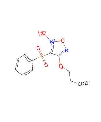 O=C([O-])CCOc1no[n+](O)c1S(=O)(=O)c1ccccc1